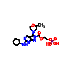 CC1CN(c2c3cnc(NC4CCCCC4)nc3nn2C(=O)OCCOP(=O)(O)O)CCO1